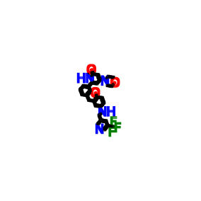 O=c1cc(N2CCOCC2)cc(-c2cccc3c2Oc2ccc(NCc4cncc(C(F)(F)F)c4)cc2C3)[nH]1